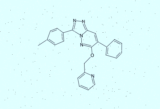 Cc1ccc(-c2nnc3cc(-c4ccccc4)c(OCc4ccccn4)nn23)cc1